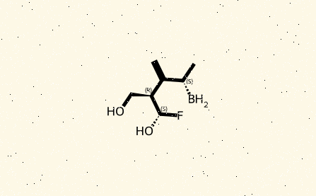 B[C@@H](C)C(=C)[C@H](CO)[C@@H](O)F